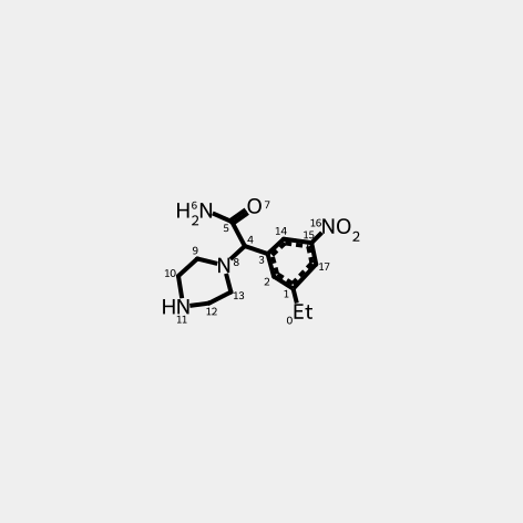 CCc1cc(C(C(N)=O)N2CCNCC2)cc([N+](=O)[O-])c1